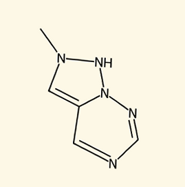 CN1C=C2C=NC=NN2N1